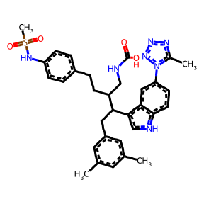 Cc1cc(C)cc(CC(c2c[nH]c3ccc(-n4nnnc4C)cc23)C(CCc2ccc(NS(C)(=O)=O)cc2)CNC(=O)O)c1